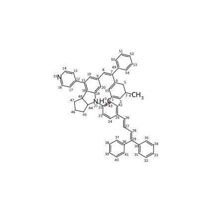 CC1=CC(C)CC(/C(=C\c2cc(-c3ccncc3)c3c(c2)N(c2ccc(/C=C/C=C(c4ccccc4)c4ccccc4)cc2)C2CCCC32)c2ccccc2)=C1